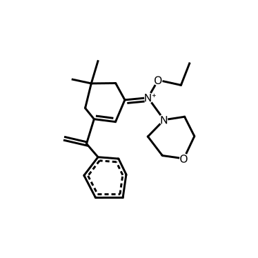 C=C(C1=C/C(=[N+](/OCC)N2CCOCC2)CC(C)(C)C1)c1ccccc1